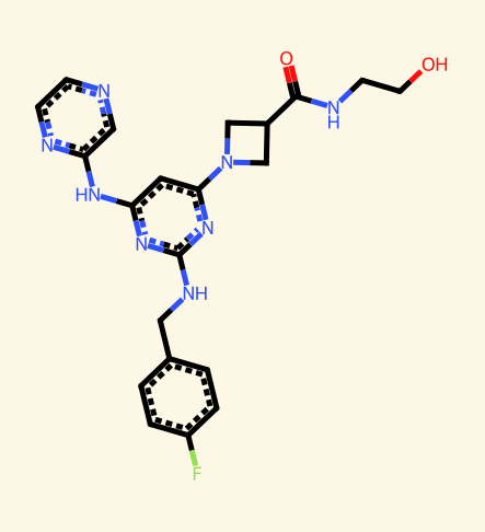 O=C(NCCO)C1CN(c2cc(Nc3cnccn3)nc(NCc3ccc(F)cc3)n2)C1